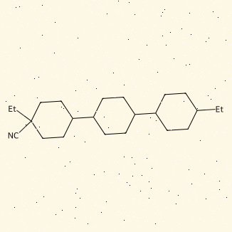 CCC1CCC(C2CCC(C3CCC(C#N)(CC)CC3)CC2)CC1